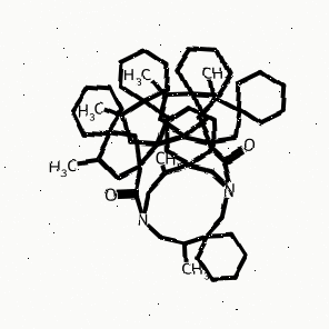 CC1CN2CC(C)C3(CCCCC3)CN(CC13CCCCC3)C(=O)C1(CC(C)C3(CCCCC3)C1)C1(CC(C)C3(CCCCC3)C1)C1(CC(C)C3(CCCCC3)C1)C1(CC(C)C3(CCCCC3)C1)C2=O